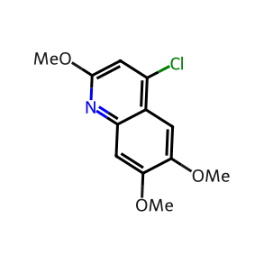 COc1cc(Cl)c2cc(OC)c(OC)cc2n1